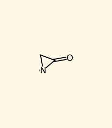 O=C1C[N]1